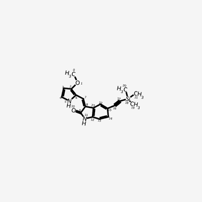 COc1cc[nH]c1/C=C1\C(=O)Nc2ccc(C#C[Si](C)(C)C)cc21